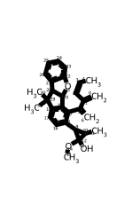 C=C(/C=C\C)C(=C)c1c(C2C(C)C2(O)OC)ccc2c1C1Oc3ccccc3C1C2(C)C